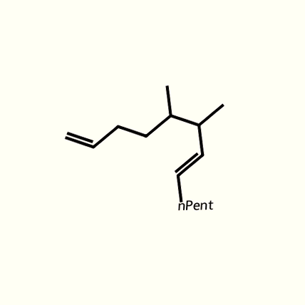 C=CCCC(C)C(C)C=CCCCCC